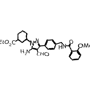 CCOC(=O)C1CCCC(n2nc(-c3ccc(CNC(=O)c4ccccc4OC)cc3)c(C=O)c2N)C1